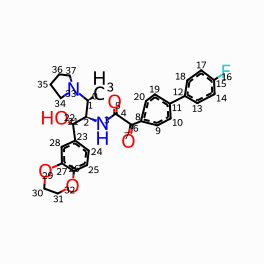 C[C@@H]([C@@H](NC(=O)C(=O)c1ccc(-c2ccc(F)cc2)cc1)[C@H](O)c1ccc2c(c1)OCCO2)N1CCCC1